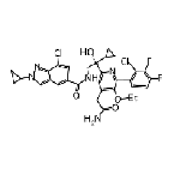 CCOc1c(CC(N)=O)cc([C@@](O)(CNC(=O)c2cc(Cl)c3nn(C4CC4)cc3c2)C2CC2)nc1-c1ccc(F)c(F)c1Cl